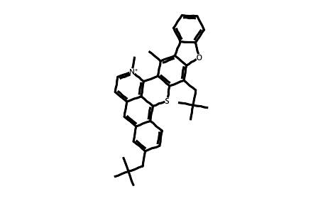 Cc1c2c(c(CC(C)(C)C)c3oc4ccccc4c13)Sc1c3ccc(CC(C)(C)C)cc3cc3cc[n+](C)c-2c13